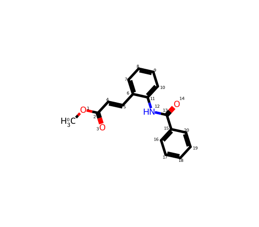 COC(=O)/C=C/c1ccccc1NC(=O)c1ccccc1